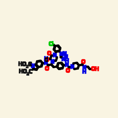 O=C(O)c1cc2cc(NC(=O)C(Cc3ccc(NC(=O)N4CCC(C(=O)NCCO)CC4)cc3)N3CCN(c4cc(Cl)ccc4-n4cnnn4)C(=O)C3=O)ccc2n1C(=O)O